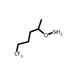 CC(CCCC(F)(F)F)O[SiH3]